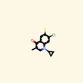 Cc1cn(C2CC2)c2cc(Cl)c(F)cc2c1=O